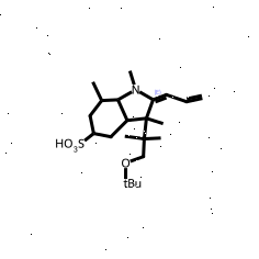 C=C/C=C1/N(C)C2C(C)CC(S(=O)(=O)O)CC2C1(C)C(C)(C)COC(C)(C)C